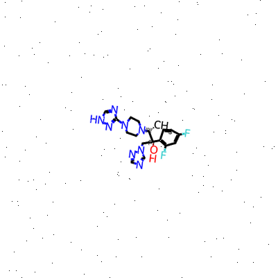 C[C@@H](N1CCN(c2nc[nH]n2)CC1)[C@](O)(Cn1cncn1)c1ccc(F)cc1F